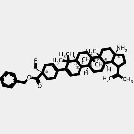 C=C(C)C1CC[C@]2(N)CC[C@]3(C)[C@H](CC[C@@H]4C3(C)CC[C@@H]3C(C)(C)C(C5=CC[C@](CF)(C(=O)OCc6ccccc6)CC5)=CC[C@@]34C)C12